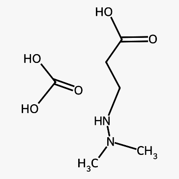 CN(C)NCCC(=O)O.O=C(O)O